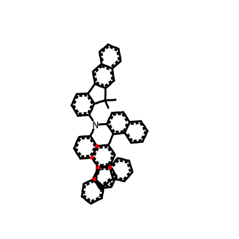 CC1(C)c2cc3ccccc3cc2-c2cccc(N(c3cccc(-n4c5ccccc5c5ccccc54)c3)c3ccc4ccccc4c3-c3ccc4ccccc4c3)c21